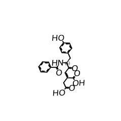 O=C(O)CC(=CC(=O)[C@H](Cc1ccc(O)cc1)NC(=O)c1ccccc1)C(=O)O